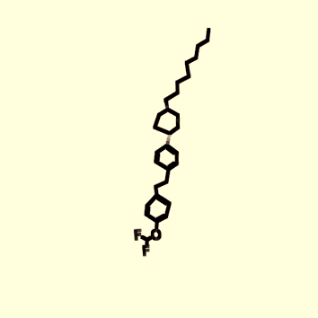 CCCCCCCCC[C@H]1CC[C@H](c2ccc(CCc3ccc(OC(F)F)cc3)cc2)CC1